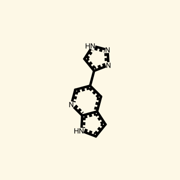 c1cc2cc(-c3c[nH]nn3)cnc2[nH]1